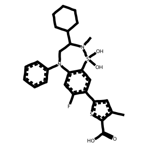 Cc1cc(-c2cc3c(cc2F)N(c2ccccc2)CC(C2CCCCC2)N(C)S3(O)O)sc1C(=O)O